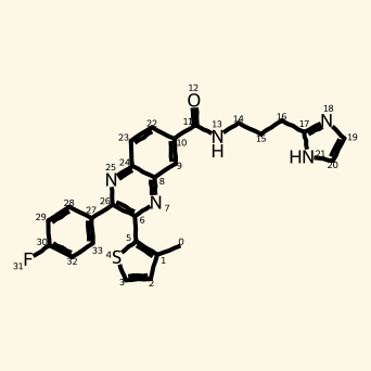 Cc1ccsc1-c1nc2cc(C(=O)NCCCc3ncc[nH]3)ccc2nc1-c1ccc(F)cc1